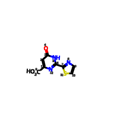 O=C(O)c1cc(=O)[nH]c(-c2nccs2)n1